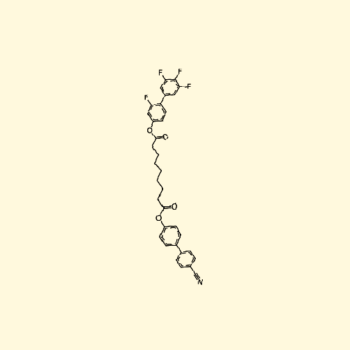 N#Cc1ccc(-c2ccc(OC(=O)CCCCCCCC(=O)Oc3ccc(-c4cc(F)c(F)c(F)c4)c(F)c3)cc2)cc1